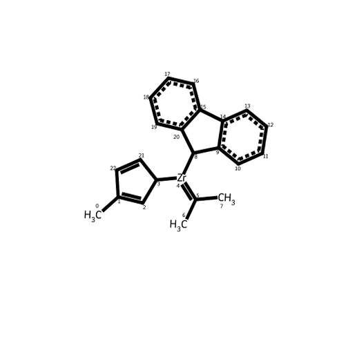 CC1=C[CH]([Zr](=[C](C)C)[CH]2c3ccccc3-c3ccccc32)C=C1